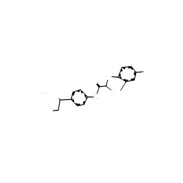 CCC(Oc1ccc(Cl)cc1C)C(=O)Nc1ccc(C(CC(=O)O)OC)cc1